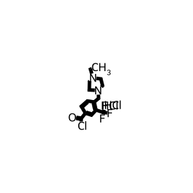 CCN1CCN(Cc2ccc(C(=O)Cl)cc2C(F)(F)F)CC1.Cl.Cl